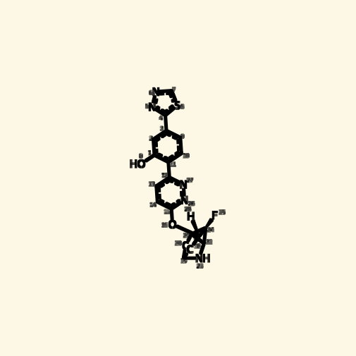 Oc1cc(-c2nncs2)ccc1-c1ccc(O[C@H]2CC3CC4C(N3)[C@@]42F)nn1